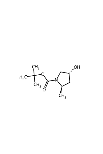 C[C@@H]1C[C@@H](O)CN1C(=O)OC(C)(C)C